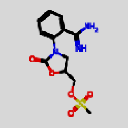 CS(=O)(=O)OCC1CN(c2ccccc2C(=N)N)C(=O)O1